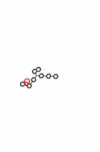 c1ccc(-c2ccc(-c3ccc(C(c4ccc(-c5cccc6c5oc5ccccc56)cc4)c4cccc5ccccc45)cc3)cc2)cc1